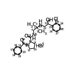 Br.CC(C)(CNC(=O)C1CCCN1C(=O)c1ccccc1)NCC(O)c1ccccc1Cl